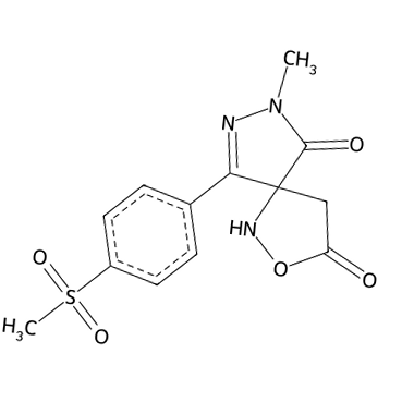 CN1N=C(c2ccc(S(C)(=O)=O)cc2)C2(CC(=O)ON2)C1=O